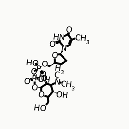 Cc1cn([C@H]2CC[C@@H](COP(=O)(O)OP(=O)(O)O[C@H]3OC(CO)[C@@H](O)C(N(C)C)C3O)O2)c(=O)[nH]c1=O